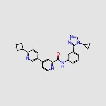 O=C(Nc1cccc(-c2nncn2C2CC2)c1)c1cc(-c2ccc(C3CCC3)nc2)ccn1